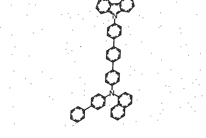 c1ccc(-c2ccc(N(c3ccc(-c4ccc(-c5ccc(-n6c7ccccc7c7ccccc76)cc5)cc4)cc3)c3cccc4ccccc34)cc2)cc1